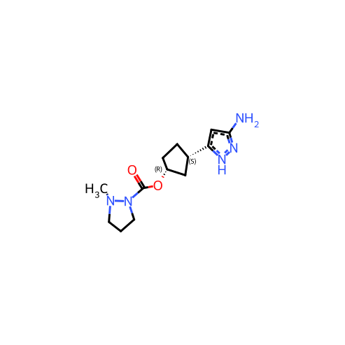 CN1CCCN1C(=O)O[C@@H]1CC[C@H](c2cc(N)n[nH]2)C1